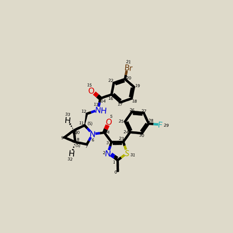 Cc1nc(C(=O)N2C[C@H]3C[C@H]3[C@H]2CNC(=O)c2cccc(Br)c2)c(-c2cccc(F)c2)s1